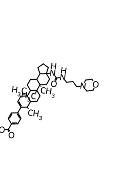 CC1C(c2ccc(C(=O)O)cc2)=CCC2(C)C1CCC1(C)C2CCC2C3CCCC3(NC(=O)NCCCN3CCOCC3)CC[C@]21C